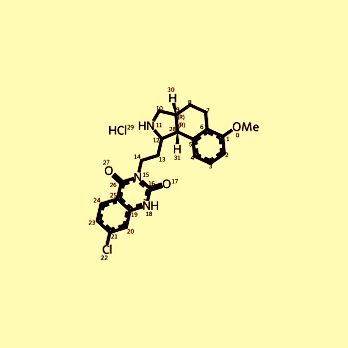 COc1cccc2c1CC[C@H]1CNC(CCn3c(=O)[nH]c4cc(Cl)ccc4c3=O)[C@@H]21.Cl